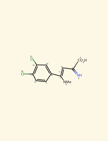 CN/C(=C\C(=N)C(=O)O)c1ccc(Cl)c(Cl)c1